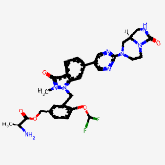 C[C@H](N)C(=O)OCc1ccc(OC(F)F)c(Cn2c3cc(-c4cnc(N5CCN6C(=O)NC[C@@H]6C5)nc4)ccc3c(=O)n2C)c1